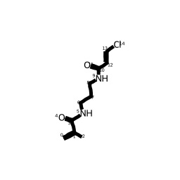 C=C(C)C(=O)NCCCNC(=O)C=CCl